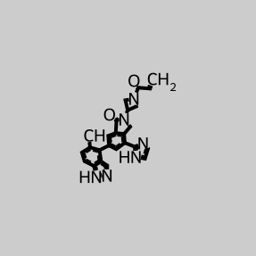 C=CC(=O)N1CC(N2Cc3c(cc(-c4c(C)ccc5[nH]ncc45)cc3-c3ncc[nH]3)C2=O)C1